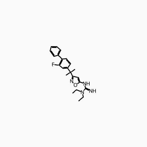 CCN(CC)C(=N)Nc1cc(C(C)(C)c2ccc(-c3ccccc3)c(F)c2)no1